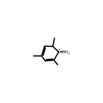 CC1=CC(C)[C@@H](N)C(C)=C1